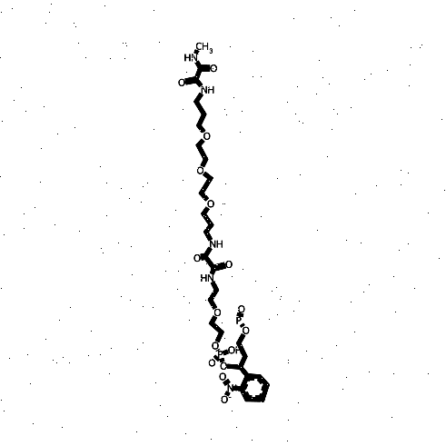 CNC(=O)C(=O)NCCCOCCOCCOCCCNC(=O)C(=O)NCCOCCOP(=O)(O)OC(CCOP=O)c1ccccc1[N+](=O)[O-]